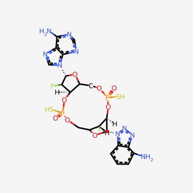 Nc1ncnc2c1ncn2[C@@H]1OC2COP(=O)(S)O[C@@H]3[C@H](F)C(COP(=O)(S)O[C@H]2[C@H]1F)O[C@H]3n1nnc2c(N)cccc21